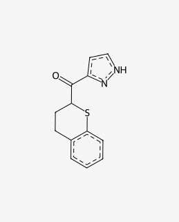 O=C(c1cc[nH]n1)C1CCc2ccccc2S1